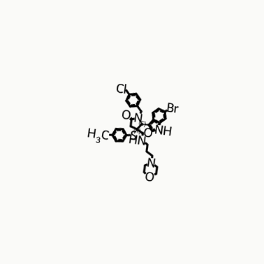 Cc1ccc(S[C@]2(C(=O)NCCCN3CCOCC3)CC(=O)N(Cc3ccc(Cl)cc3)[C@H]2c2c[nH]c3cc(Br)ccc23)cc1